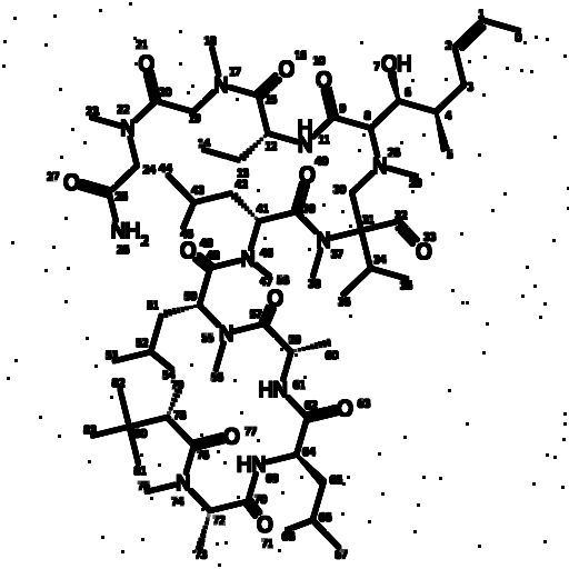 C/C=C\C[C@@H](C)[C@H](O)C(C(=O)N[C@H](CC)C(=O)N(C)CC(=O)N(C)CC(N)=O)N(C)CC(C=O)(C(C)C)N(C)C(=O)[C@@H](CC(C)C)N(C)C(=O)[C@@H](CC(C)C)N(C)C(=O)[C@H](C)NC(=O)[C@@H](CC(C)C)NC(=O)[C@H](C)N(C)C(=O)[C@@H](C)C(C)(C)C